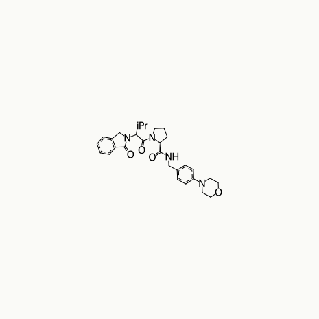 CC(C)C(C(=O)N1CCC[C@H]1C(=O)NCc1ccc(N2CCOCC2)cc1)N1Cc2ccccc2C1=O